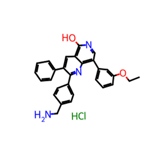 CCOc1cccc(-c2cnc(O)c3cc(-c4ccccc4)c(-c4ccc(CN)cc4)nc23)c1.Cl